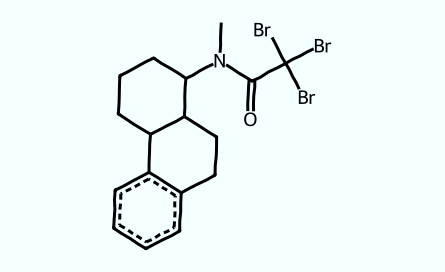 CN(C(=O)C(Br)(Br)Br)C1CCCC2c3ccccc3CCC21